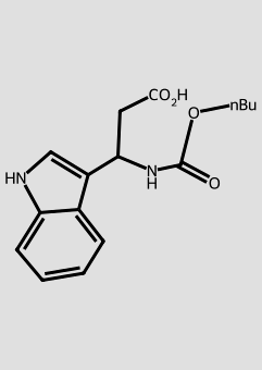 CCCCOC(=O)NC(CC(=O)O)c1c[nH]c2ccccc12